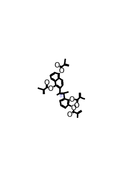 C=C(C)C(=O)Oc1cccc(/C(C)=C(\C)c2ccc3c(OC(=O)C(=C)C)cccc3c2OC(=O)C(=C)C)c1OC(=O)C(=C)C